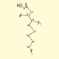 O=S(=O)(O)CC(F)C(F)CCCCCF